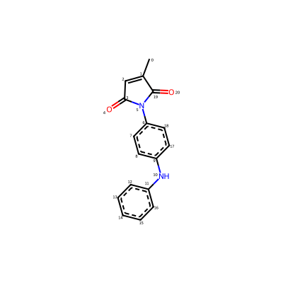 CC1=CC(=O)N(c2ccc(Nc3ccccc3)cc2)C1=O